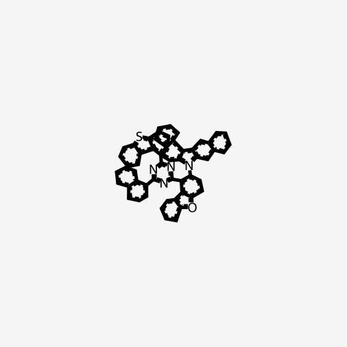 c1ccc2cc3c(cc2c1)c1c2ccccc2ccc1n3-c1ccc2oc3ccccc3c2c1-c1nc(-c2cccc3ccccc23)nc(-c2cccc3sc4ccccc4c23)n1